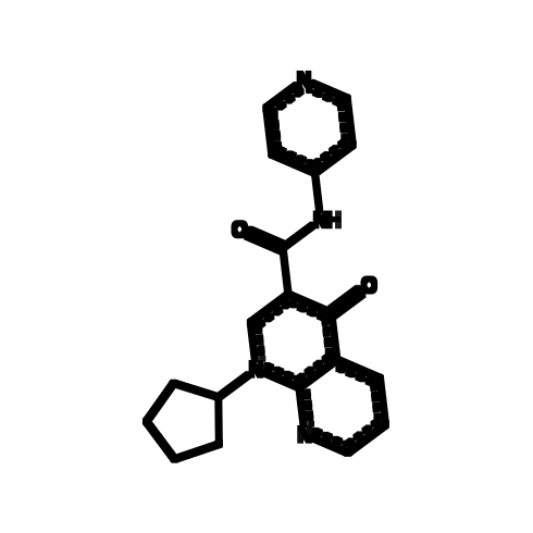 O=C(Nc1ccncc1)c1cn(C2CCCC2)c2ncccc2c1=O